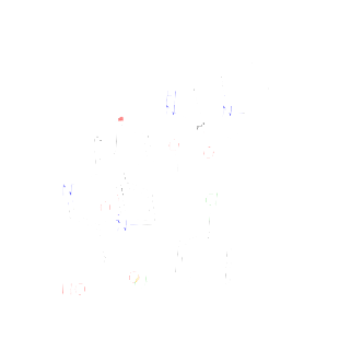 O=C(O)c1cnc2ccc(NC(=O)N3C4CCC3CC(OCc3c(-c5c(Cl)cccc5Cl)noc3C3CC3)C4)cc2c1